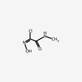 CNC(=O)/C(Cl)=N\O